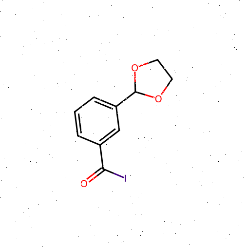 O=C(I)c1cccc(C2OCCO2)c1